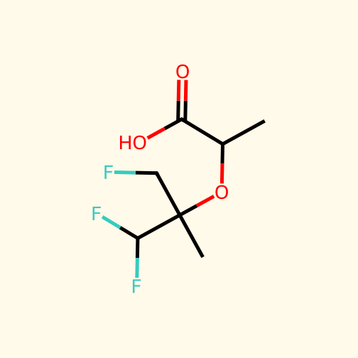 CC(OC(C)(CF)C(F)F)C(=O)O